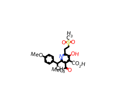 COC(=O)c1c(C(C)c2ccc(OC)cc2)nc(CCS(C)(=O)=O)c(O)c1C(=O)O